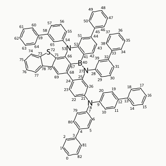 c1ccc(-c2ccc(N(c3ccc(-c4ccccc4)cc3)c3ccc4c(c3)N(c3cccc(-c5ccccc5)c3)B3c5ccc(-c6ccccc6)cc5N(c5cccc(-c6ccccc6)c5)c5c3c-4cc3c5sc4ccccc43)cc2)cc1